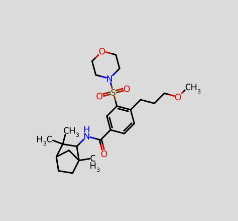 COCCCc1ccc(C(=O)NC2C3(C)CCC(C3)C2(C)C)cc1S(=O)(=O)N1CCOCC1